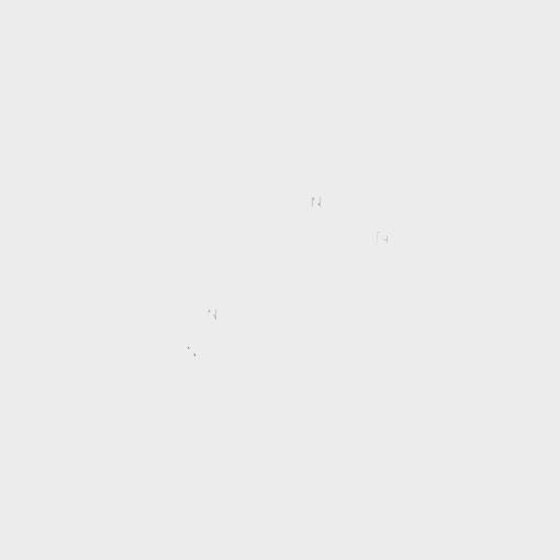 NN=Cc1ccnc(Br)c1